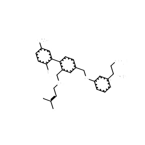 CCC[C@@H](CC(=O)O)c1cccc(OCc2ccc(-c3cc(OC)ccc3F)c(COCC=C(C)C)c2)c1